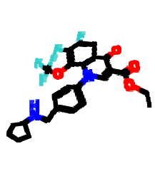 CCOC(=O)c1cn(-c2ccc(CNC3CCCC3)cc2)c2c(OC(F)(F)F)c(F)c(F)cc2c1=O